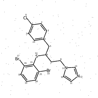 Clc1ccc(CC(CCn2ccnc2)Sc2c(Br)cccc2Br)cc1